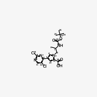 CC(Cn1cc(-c2nc(Cl)ncc2Cl)cc1C(=O)O)NC(=O)OC(C)(C)C